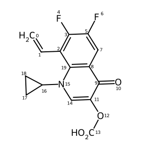 C=Cc1c(F)c(F)cc2c(=O)c(OC(=O)O)cn(C3CC3)c12